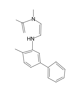 C=C(C)N(C)/C=C\Nc1cc(-c2ccccc2)ccc1C